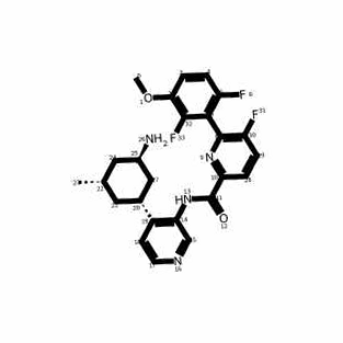 COc1ccc(F)c(-c2nc(C(=O)Nc3cnccc3[C@@H]3C[C@H](C)C[C@@H](N)C3)ccc2F)c1F